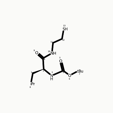 CC(C)C[C@H](NC(=O)OC(C)(C)C)C(=O)NCCS